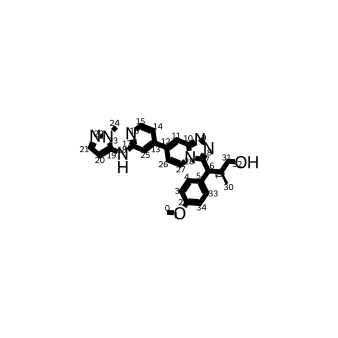 COc1ccc(C(c2nnc3cc(-c4ccnc(Nc5ccnn5C)c4)ccn23)[C@H](C)CO)cc1